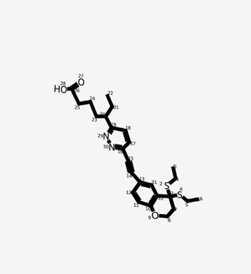 CCSC1(SCC)CCOc2ccc(C#Cc3ccc(C(CC)CCCC(=O)O)nn3)cc21